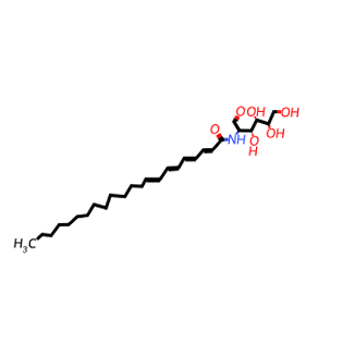 CCCCCCCCCCCCCC=CC=CC=CC=CC(=O)N[C@@H](C=O)[C@@H](O)[C@H](O)[C@H](O)CO